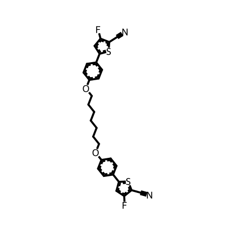 N#Cc1sc(-c2ccc(OCCCCCCCOc3ccc(-c4cc(F)c(C#N)s4)cc3)cc2)cc1F